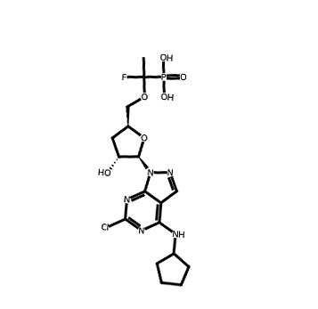 CC(F)(OC[C@@H]1C[C@@H](O)[C@H](n2ncc3c(NC4CCCC4)nc(Cl)nc32)O1)P(=O)(O)O